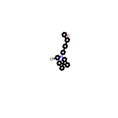 [C-]#[N+]c1ccc(N(c2ccc(-c3ccc(-c4ccc5oc6ccccc6c5c4)cc3)cc2)c2ccc3c(c2)C(c2ccccc2)(c2ccccc2)c2ccccc2-3)cc1